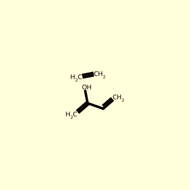 C=C.C=CC(=C)O